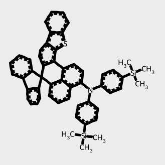 C[Si](C)(C)c1ccc(N(c2ccc([Si](C)(C)C)cc2)c2ccc3c4c(cccc24)C2(c4ccccc4-c4ccccc42)c2ccc4c(sc5ccccc54)c2-3)cc1